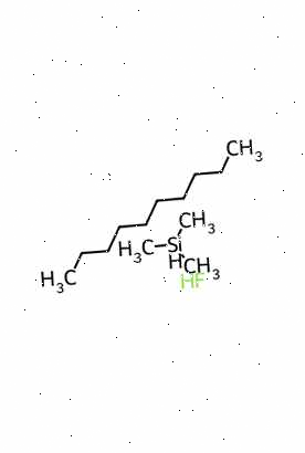 CCCCCCCCCC.C[SiH](C)C.F